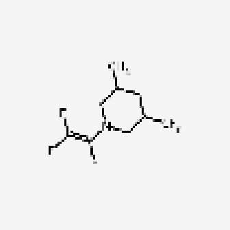 CC1CC(C(F)(F)F)CN(C(F)=C(F)F)C1